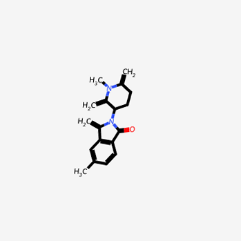 C=C1CCC(N2C(=C)c3cc(C)ccc3C2=O)C(=C)N1C